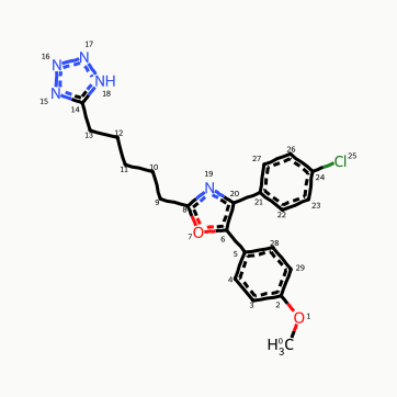 COc1ccc(-c2oc(CCCCCc3nnn[nH]3)nc2-c2ccc(Cl)cc2)cc1